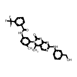 Cc1ccc(NC(=O)c2cccc(C(F)(F)F)c2)cc1-n1c(C)c2cnc(Nc3cccc(CO)c3)nc2nc1=O